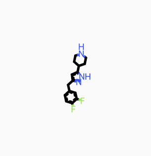 Fc1ccc(Cc2cc(C3CCNCC3)[nH]n2)cc1F